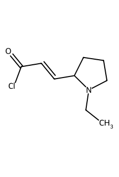 CCN1CCCC1C=CC(=O)Cl